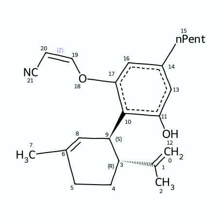 C=C(C)[C@@H]1CCC(C)=C[C@H]1c1c(O)cc(CCCCC)cc1O/C=C\C#N